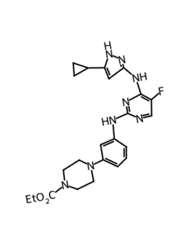 CCOC(=O)N1CCN(c2cccc(Nc3ncc(F)c(Nc4cc(C5CC5)[nH]n4)n3)c2)CC1